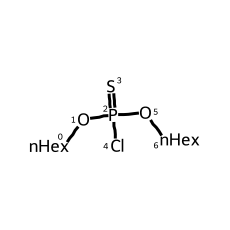 CCCCCCOP(=S)(Cl)OCCCCCC